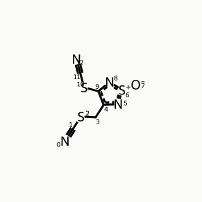 N#CSCc1n[s+]([O-])nc1SC#N